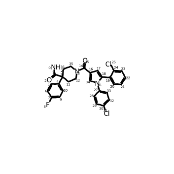 NC(=O)C1(c2ccc(F)cc2)CCN(C(=O)c2cc(-c3ccccc3Cl)n(-c3ccc(Cl)cc3)c2)CC1